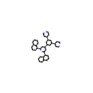 c1ccc2c(-c3cc(-c4cc(-c5ccncc5)cc(-c5ccncc5)c4)cc(-c4cccc5ccccc45)n3)cccc2c1